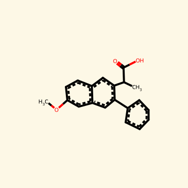 COc1ccc2cc(C(C)C(=O)O)c(-c3ccccc3)cc2c1